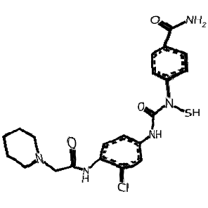 NC(=O)c1ccc(N(S)C(=O)Nc2ccc(NC(=O)CN3CCCCC3)c(Cl)c2)cc1